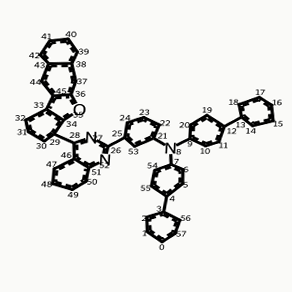 c1ccc(-c2ccc(N(c3ccc(-c4ccccc4)cc3)c3cccc(-c4nc(-c5cccc6c5oc5cc7ccccc7cc56)c5ccccc5n4)c3)cc2)cc1